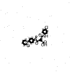 O=C(O)[C@H]1[C@H](C(=O)Nc2ccc(Cl)cc2)[C@@H]1C(=O)N(F)c1ccc(-n2ccccc2=O)cc1